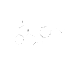 Cc1nc2c(c(-n3c(=O)[nH]c4cc(OC(F)(F)F)ccc43)n1)CCC2